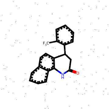 O=C1CC(c2ccccc2C(F)(F)F)c2ccc3ccccc3c2N1